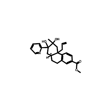 C=CCC12CC(C)(O)C(O)(c3ccccn3)C[C@H]1CCc1cc(C(=O)OC)ccc12